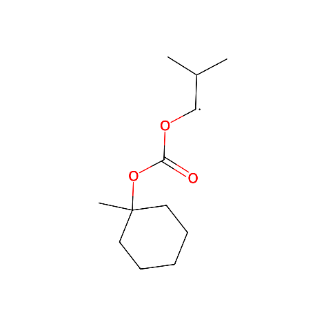 CC(C)[CH]OC(=O)OC1(C)CCCCC1